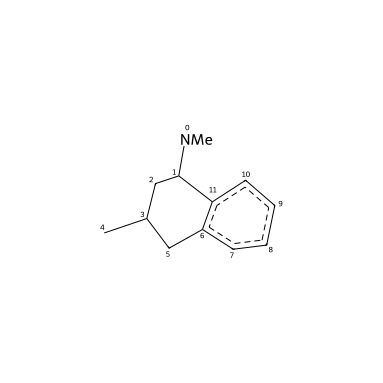 CNC1CC(C)Cc2ccccc21